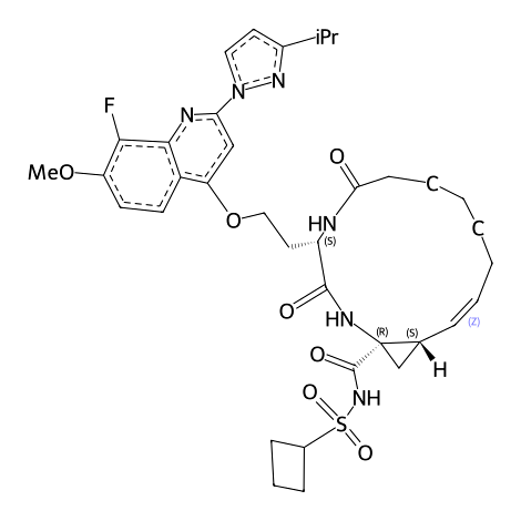 COc1ccc2c(OCC[C@@H]3NC(=O)CCCCC/C=C\[C@@H]4C[C@@]4(C(=O)NS(=O)(=O)C4CCC4)NC3=O)cc(-n3ccc(C(C)C)n3)nc2c1F